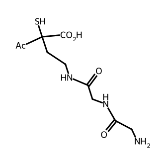 CC(=O)C(S)(CCNC(=O)CNC(=O)CN)C(=O)O